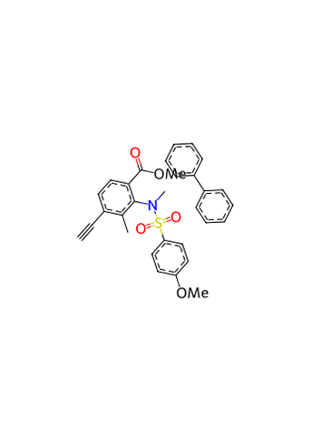 C#Cc1ccc(C(=O)OC)c(N(C)S(=O)(=O)c2ccc(OC)cc2)c1C.c1ccc(-c2ccccc2)cc1